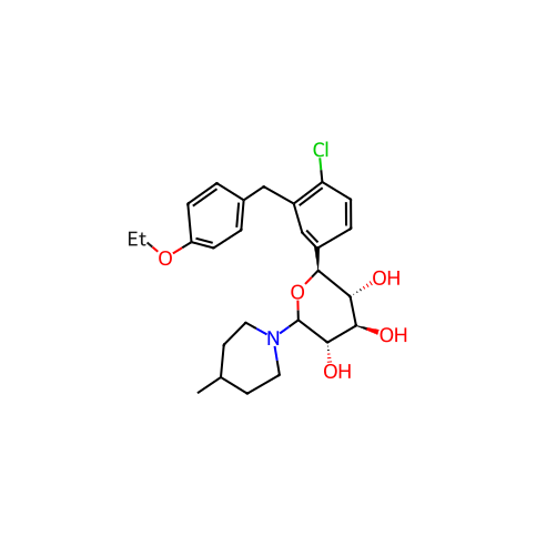 CCOc1ccc(Cc2cc([C@@H]3OC(N4CCC(C)CC4)[C@@H](O)[C@H](O)[C@H]3O)ccc2Cl)cc1